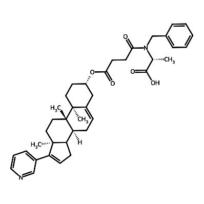 C[C@H](C(=O)O)N(Cc1ccccc1)C(=O)CCC(=O)O[C@H]1CC[C@@]2(C)C(=CC[C@H]3C4CC=C(c5cccnc5)[C@@]4(C)CC[C@@]32C)C1